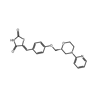 O=C1NC(=O)C(=Cc2ccc(OC[C@@H]3CN(c4ccccn4)CCO3)cc2)S1